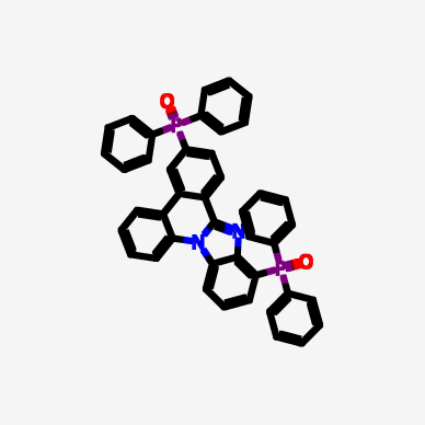 O=P(c1ccccc1)(c1ccccc1)c1ccc2c(c1)c1ccccc1n1c3cccc(P(=O)(c4ccccc4)c4ccccc4)c3nc21